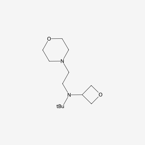 CC(C)(C)N(CCN1CCOCC1)C1COC1